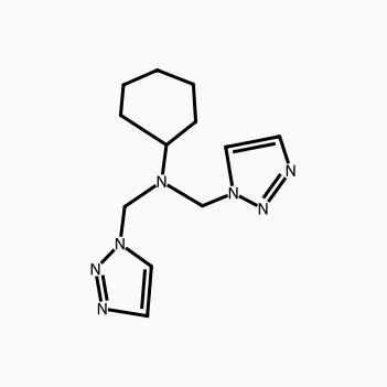 c1cn(CN(Cn2ccnn2)C2CCCCC2)nn1